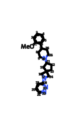 COc1ccccc1C1CCN(C2CCC3(C2)CN(c2cccnn2)C3)CC1